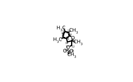 Cc1cc(C)c2c(c1C)OC(C)(COS(C)(=O)=O)C2